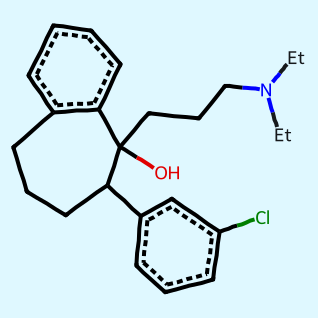 CCN(CC)CCCC1(O)c2ccccc2CCCC1c1cccc(Cl)c1